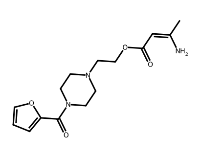 C/C(N)=C/C(=O)OCCN1CCN(C(=O)c2ccco2)CC1